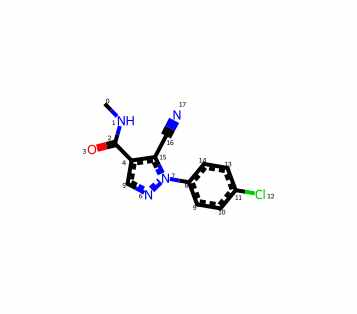 CNC(=O)c1cnn(-c2ccc(Cl)cc2)c1C#N